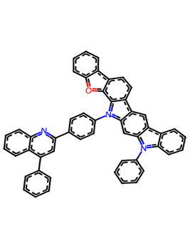 c1ccc(-c2cc(-c3ccc(-n4c5cc6c(cc5c5ccc7c8ccccc8oc7c54)c4ccccc4n6-c4ccccc4)cc3)nc3ccccc23)cc1